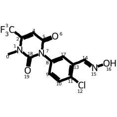 Cn1c(C(F)(F)F)cc(=O)n(-c2ccc(Cl)c(/C=N/O)c2)c1=O